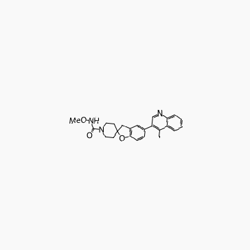 CONC(=O)N1CCC2(CC1)Cc1cc(-c3cnc4ccccc4c3C)ccc1O2